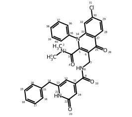 CN(C)C(=O)c1c(CNC(=O)c2cc(Cc3ccccc3)[nH]c(=O)c2)c(=O)c2ccc(Cl)cc2n1-c1ccccc1